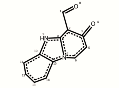 O=[C]c1c(=O)ccn2c1[nH]c1ccccc12